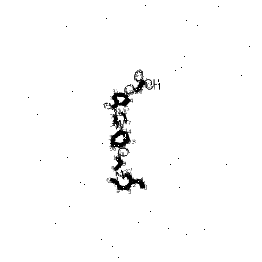 CCC1CCC(C)N(CCCOc2ccc(N3CCN(C(=O)c4ccc(OCC(=O)O)cc4)CC3)cc2)C1